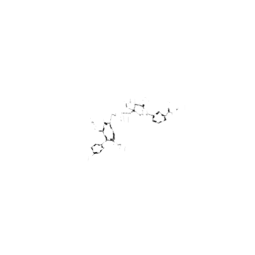 CCOc1cc(CNCCC2(CC)CC(=O)N(c3cccc(C(=O)OC)c3)C2)cc(OCC)c1-c1ccc(F)cc1